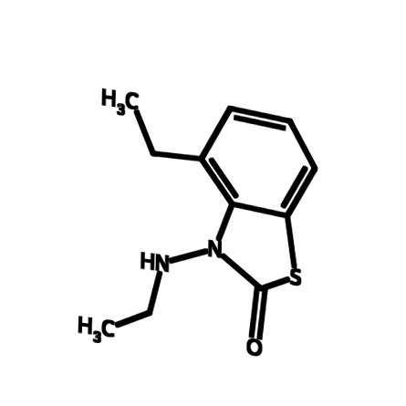 CCNn1c(=O)sc2cccc(CC)c21